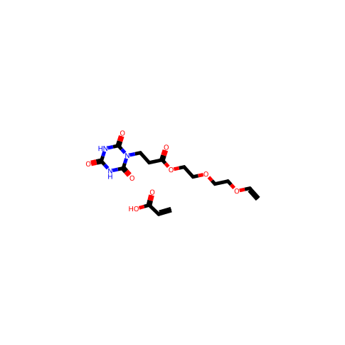 C=CC(=O)O.C=COCCOCCOC(=O)CCn1c(=O)[nH]c(=O)[nH]c1=O